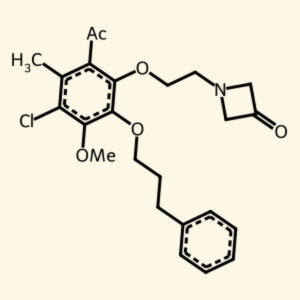 COc1c(Cl)c(C)c(C(C)=O)c(OCCN2CC(=O)C2)c1OCCCc1ccccc1